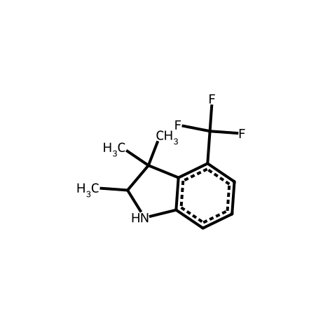 CC1Nc2cccc(C(F)(F)F)c2C1(C)C